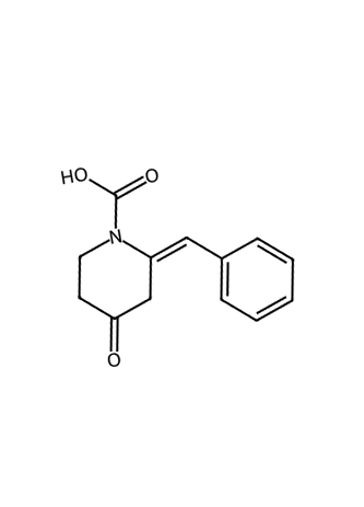 O=C1CCN(C(=O)O)C(=Cc2ccccc2)C1